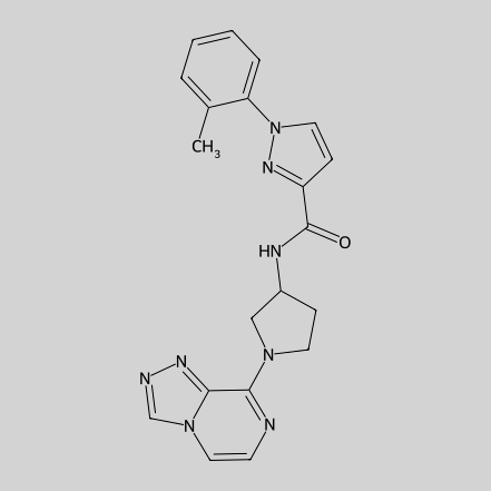 Cc1ccccc1-n1ccc(C(=O)NC2CCN(c3nccn4cnnc34)C2)n1